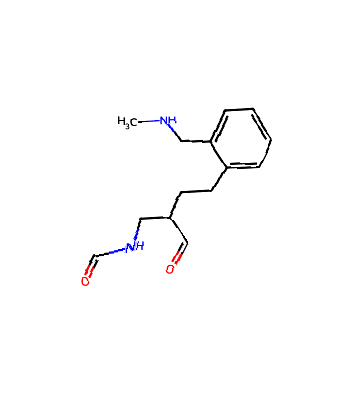 CNCc1ccccc1CCC(C=O)CNC=O